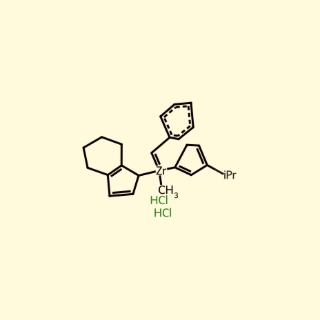 CC(C)C1=CC[C]([Zr]([CH3])(=[CH]c2ccccc2)[CH]2C=CC3=C2CCCC3)=C1.Cl.Cl